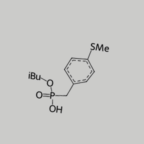 CCC(C)OP(=O)(O)Cc1ccc(SC)cc1